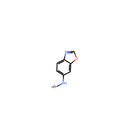 CCCNc1ccc2ncoc2c1